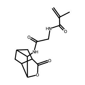 C=C(C)C(=O)NCC(=O)NC1C2CC3C(=O)OC1C3C2